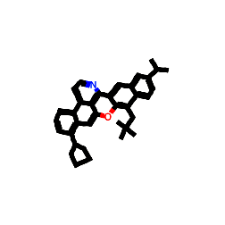 CC(C)c1ccc2c(CC(C)(C)C)c3c(cc2c1)-c1nccc2c1c(cc1c(C4CCCC4)cccc12)O3